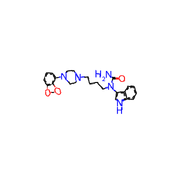 NC(=O)N(CCCCN1CCN(c2cccc3c2OCO3)CC1)c1c[nH]c2ccccc12